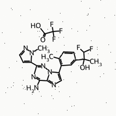 Cc1ccc(C(C)(O)C(F)F)cc1-c1cnc2c(N)nc(-c3ccnn3C)nn12.O=C(O)C(F)(F)F